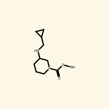 CC(C)(C)OC(=O)N1CCCC(NCC2CC2)C1